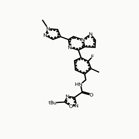 Cc1c(CNC(=O)c2noc(C(C)(C)C)n2)ccc(-c2nc(-c3cnn(C)c3)cn3nccc23)c1F